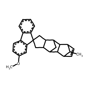 COc1ccc2c(c1)C1(CC3C(C1)C1CC3C3C4C=CC(C4C)C13)c1ccccc1-2